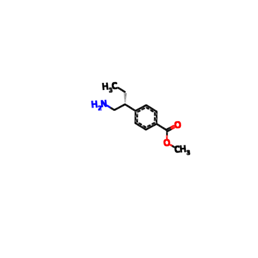 CC[C@@H](CN)c1ccc(C(=O)OC)cc1